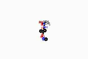 CC(C)(C)N(CCNC(=O)c1cccc2c1-c1ccccc1C2COC(=O)On1nnc2ccccc21)C(=O)O